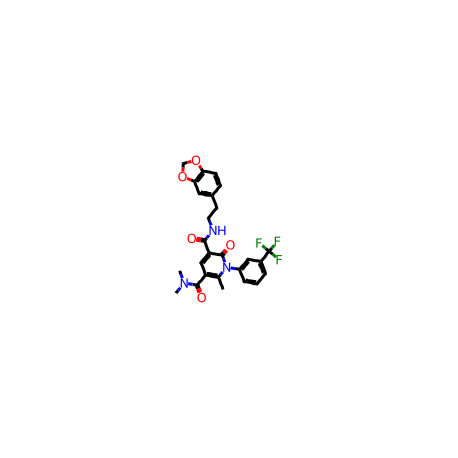 Cc1c(C(=O)N(C)C)cc(C(=O)NCCc2ccc3c(c2)OCO3)c(=O)n1-c1cccc(C(F)(F)F)c1